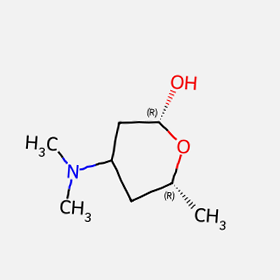 C[C@@H]1CC(N(C)C)C[C@H](O)O1